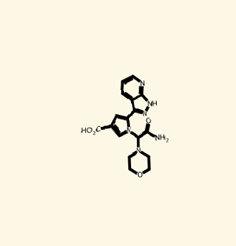 NC(=O)C(N1CCOCC1)n1cc(C(=O)O)cc1-c1n[nH]c2ncccc12